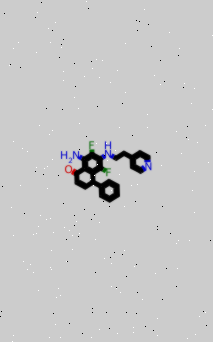 Nc1c(F)c(NCCc2ccncc2)c(F)c2c1C(=O)C=CC2c1ccccc1